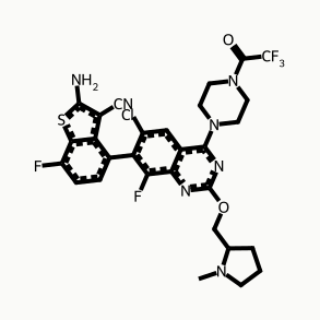 CN1CCCC1COc1nc(N2CCN(C(=O)C(F)(F)F)CC2)c2cc(Cl)c(-c3ccc(F)c4sc(N)c(C#N)c34)c(F)c2n1